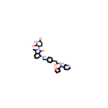 C=C1c2cccc(NCc3ccc(CC(=O)NC(c4cccnc4)c4ccco4)cc3)c2C(=O)N1C1CCC(=O)NC1=O